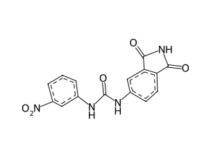 O=C(Nc1cccc([N+](=O)[O-])c1)Nc1ccc2c(c1)C(=O)NC2=O